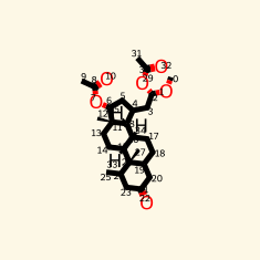 COC(CC1CC(OC(C)=O)[C@@]2(C)CC[C@@H]3[C@@H](CCC4CC(=O)CC(C)[C@@]43C)[C@H]12)OC(C)=O